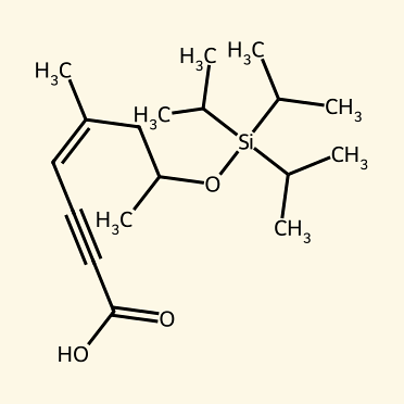 CC(=CC#CC(=O)O)CC(C)O[Si](C(C)C)(C(C)C)C(C)C